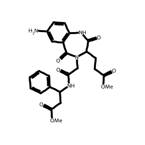 COC(=O)CCC1C(=O)Nc2ccc(N)cc2C(=O)N1CC(=O)NC(CC(=O)OC)c1ccccc1